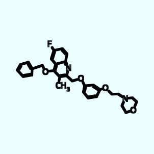 Cc1c(COc2cccc(OCCN3CCOCC3)c2)nc2ccc(F)cc2c1OCc1ccccc1